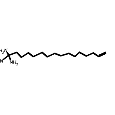 C=CCCCCCCCCCCCCCC(N)(N)N